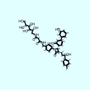 O=C(CC(=O)NC[C@H](O)[C@@H](O)[C@H](O)[C@H](O)CO)NCc1ccc(N2C(=O)[C@H](CC[C@H](O)c3ccc(F)cc3)[C@H]2c2ccc(-c3cccc(O)c3)cc2O)cc1